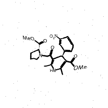 COC(=O)C1=C(C)NC(C)=C(C(=O)N2CCC[C@@H]2C(=O)OC)[C@H]1c1cccc([N+](=O)[O-])c1